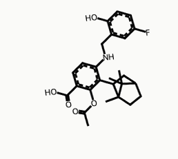 CC(=O)Oc1c(C(=O)O)ccc(NCc2cc(F)ccc2O)c1C1CC2CCC1(C)C2(C)C